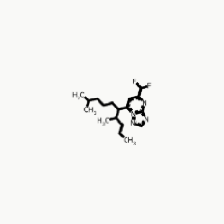 CCCC(C)C(CCCC(C)C)c1cc(C(F)F)nc2ncnn12